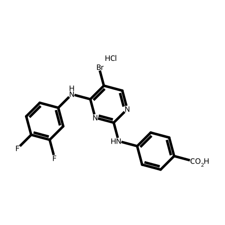 Cl.O=C(O)c1ccc(Nc2ncc(Br)c(Nc3ccc(F)c(F)c3)n2)cc1